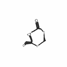 O=C1OCOC(=O)O1